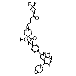 O=C(/C=C/CN1CCC(O)(C(=O)Nc2ccc(-c3cc4c(N5CCOCC5)ncnc4[nH]3)cc2)CC1)N1CC(F)(F)C1